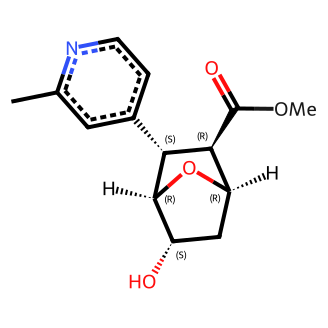 COC(=O)[C@@H]1[C@@H](c2ccnc(C)c2)[C@H]2O[C@@H]1C[C@@H]2O